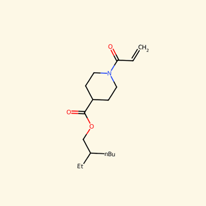 C=CC(=O)N1CCC(C(=O)OCC(CC)CCCC)CC1